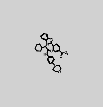 COC(=O)c1ccc(-c2nc3ccccc3n2C(C(=O)Nc2ccc(N3CCOCC3)cc2)C2CCCCC2)cc1